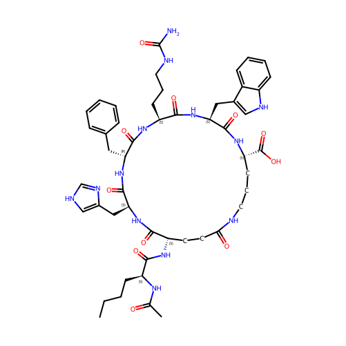 CCCC[C@H](NC(C)=O)C(=O)N[C@H]1CCC(=O)NCCC[C@@H](C(=O)O)NC(=O)[C@H](Cc2c[nH]c3ccccc23)NC(=O)[C@H](CCCNC(N)=O)NC(=O)[C@@H](Cc2ccccc2)NC(=O)[C@H](Cc2c[nH]cn2)NC1=O